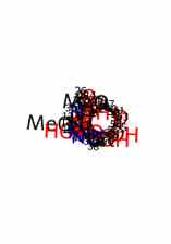 CC[C@H]1OC(=O)[C@H](C)[C@@H](O[C@H]2C[C@@](C)(OC)[C@@H](O)[C@H](C)O2)[C@H](C)[C@@H](O[C@@H]2O[C@H](C)C[C@H](N(C)CCc3cn(-c4cccnc4)nn3)[C@H]2O)[C@](C)(OC)C[C@@H](C)C(=O)[C@H](C)[C@@H](O)[C@]1(C)O